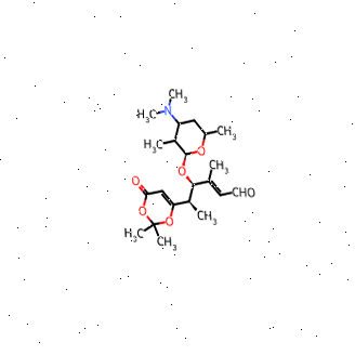 C/C(=C\C=O)[C@H](O[C@@H]1OC(C)CC(N(C)C)C1C)[C@@H](C)C1=CC(=O)OC(C)(C)O1